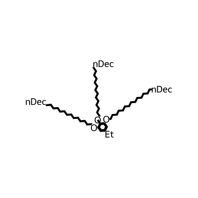 [CH2]Cc1cc(OCCCCCCCCCCCCCCCCCCCCCCCC)c(OCCCCCCCCCCCCCCCCCCCCCCCC)c(OCCCCCCCCCCCCCCCCCCCCCCCC)c1